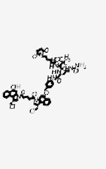 CC(C)C(NC(=O)CCCCCN1C(=O)C=CC1=O)C(=O)N[C@@H](CCCNC(N)=O)C(=O)Nc1ccc(COc2cc3c(c4ccccc24)[C@H](CCl)CN3C(=O)CCCC(=O)N2C[C@@H](CCl)c3c2cc(O)c2ccccc32)cc1